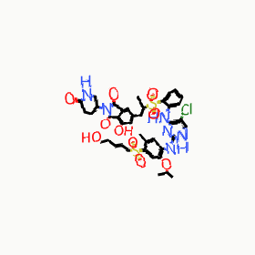 Cc1cc(Nc2ncc(Cl)c(Nc3ccccc3S(=O)(=O)C(C)Cc3cc(O)c4c(c3)C(=O)N(C3CCC(=O)NC3)C4=O)n2)c(OC(C)C)cc1S(=O)(=O)CCCCCO